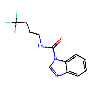 O=C(NCCCC(F)(F)F)n1cnc2ccccc21